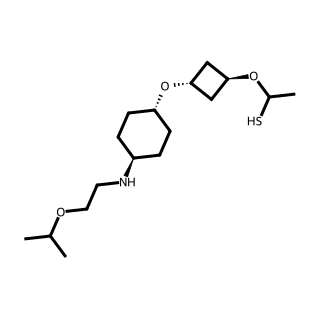 CC(C)OCCN[C@H]1CC[C@H](O[C@H]2C[C@H](OC(C)S)C2)CC1